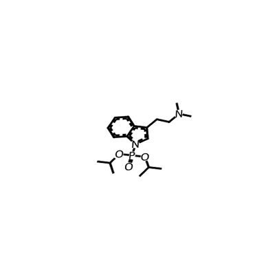 CC(C)OP(=O)(OC(C)C)n1cc(CCN(C)C)c2ccccc21